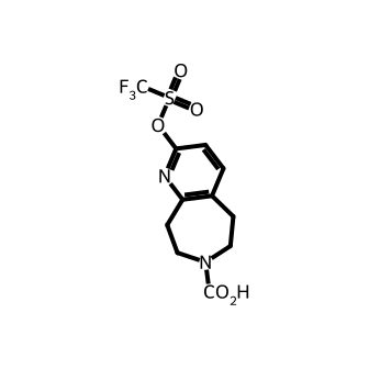 O=C(O)N1CCc2ccc(OS(=O)(=O)C(F)(F)F)nc2CC1